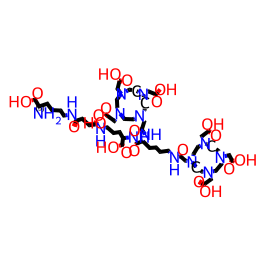 N[C@@H](CCCCNC(=O)CCC(=O)NCCCC(NC(=O)C(CCCCNC(=O)CN1CCN(CC(=O)O)CCN(CC(=O)O)CCN(CC(=O)O)CC1)NC(=O)CN1CCN(CC(=O)O)CCN(CC(=O)O)CCN(CC(=O)O)CC1)C(=O)O)C(=O)O